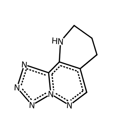 c1nn2nnnc2c2c1CCCN2